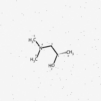 C[C@H](O)CN(C)C